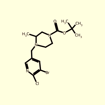 CC1CN(C(=O)OC(C)(C)C)CCN1Cc1cnc(Cl)c(Br)c1